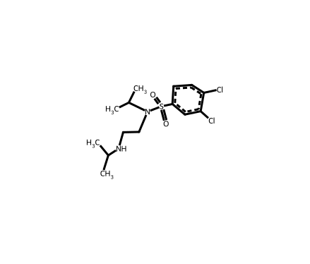 CC(C)NCCN(C(C)C)S(=O)(=O)c1ccc(Cl)c(Cl)c1